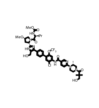 COC(=O)N[C@H](C(=O)N1C[C@@H](OC)C[C@H]1c1nc(-c2ccc(-c3cc(Cl)c(NC(=O)c4ccc(N5CCN(C(=O)C(C)(C)CO)C[C@H]5C)nc4)cc3OC(F)(F)F)cc2)c(CO)[nH]1)C(C)C